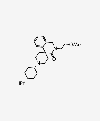 COCCN1Cc2ccccc2C2(CCN([C@H]3CC[C@@H](C(C)C)CC3)CC2)C1=O